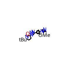 COc1cc(-c2cn(C3CCCC(C(C)(C)C)N(C)C3=O)nn2)ccc1-n1cnc(C)c1